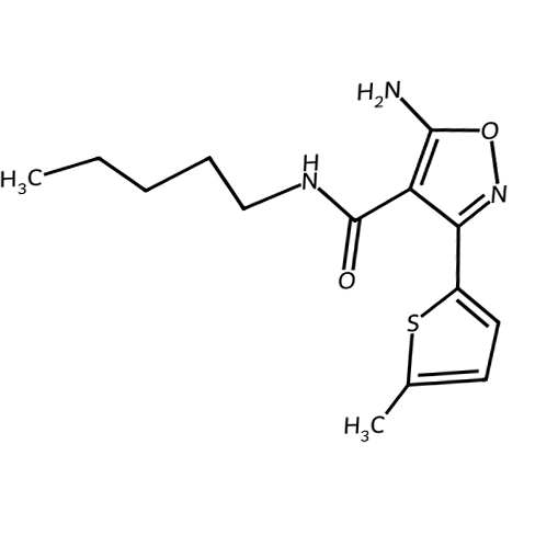 CCCCCNC(=O)c1c(-c2ccc(C)s2)noc1N